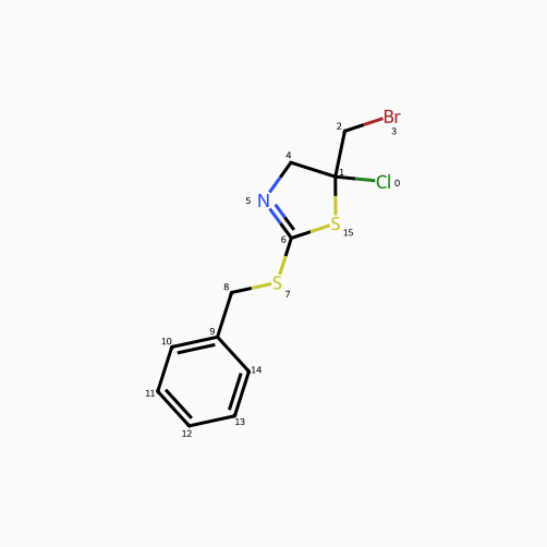 ClC1(CBr)CN=C(SCc2ccccc2)S1